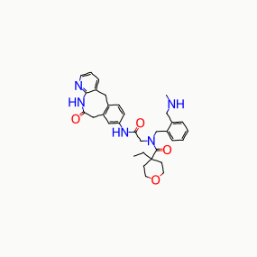 CCC1(C(=O)N(CC(=O)Nc2ccc3c(c2)CC(=O)Nc2ncccc2C3)Cc2ccccc2CNC)CCOCC1